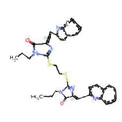 CCCN1C(=O)/C(=C/c2ccc3ccccc3n2)N=C1SCCSC1=N/C(=C\c2ccc3ccccc3n2)C(=O)N1CCC